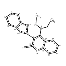 CCN(CC)c1c(-c2nc3ccccc3s2)c(=O)oc2ccccc12